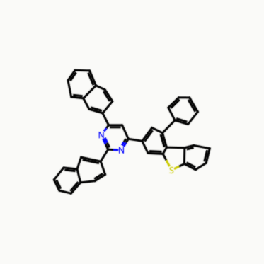 c1ccc(-c2cc(-c3cc(-c4ccc5ccccc5c4)nc(-c4ccc5ccccc5c4)n3)cc3sc4ccccc4c23)cc1